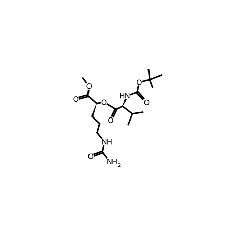 COC(=O)[C@H](CCCNC(N)=O)OC(=O)[C@@H](NC(=O)OC(C)(C)C)C(C)C